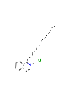 CCCCCCCCCCCCc1c2ccccc2cc[n+]1C.[Cl-]